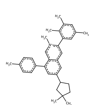 Cc1ccc(-c2cc(C3CCC(C)(C)C3)cc3cc(-c4cc(C)cc(C)c4C)[n+](C)cc23)cc1